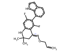 C=CCO/N=C1\CC(C)(C)Nc2cc(F)c(-c3cccc4cc[nH]c34)c(F)c21